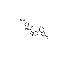 CO[C@H]1CC[C@H](NC(=O)c2cnn3ccc(C4=CCCCc5nc(C6CC6)ncc54)cc23)CC1